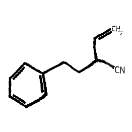 C=C[C](C#N)CCc1ccccc1